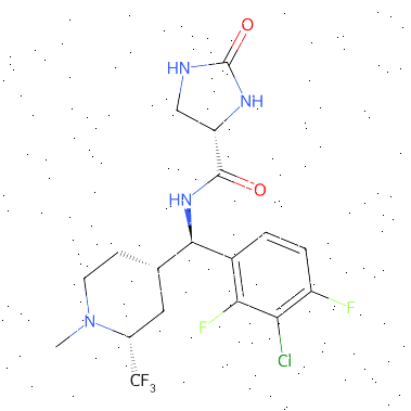 CN1CC[C@H]([C@@H](NC(=O)[C@@H]2CNC(=O)N2)c2ccc(F)c(Cl)c2F)C[C@@H]1C(F)(F)F